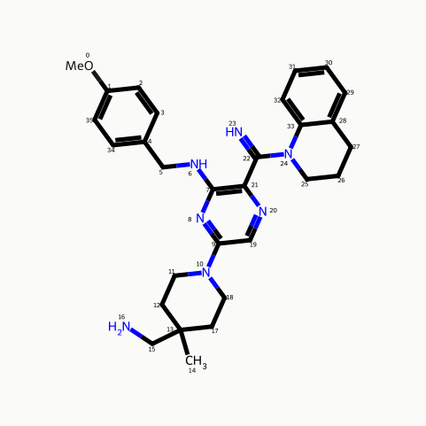 COc1ccc(CNc2nc(N3CCC(C)(CN)CC3)cnc2C(=N)N2CCCc3ccccc32)cc1